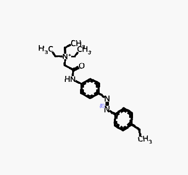 CCc1ccc(/N=N/c2ccc(NC(=O)C[N+](CC)(CC)CC)cc2)cc1